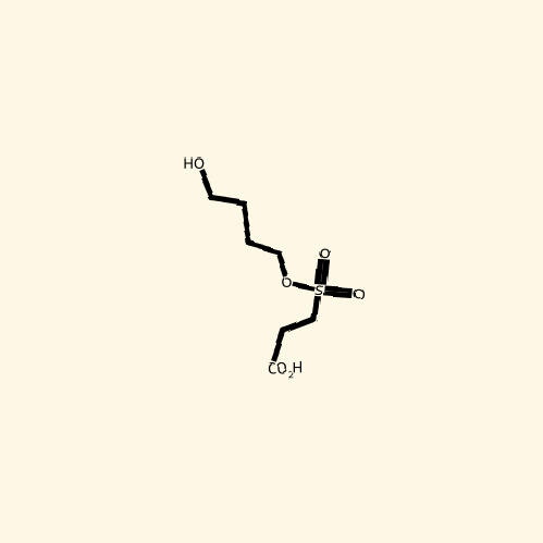 O=C(O)CCS(=O)(=O)OCCCCO